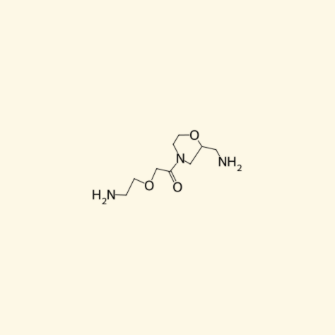 NCCOCC(=O)N1CCOC(CN)C1